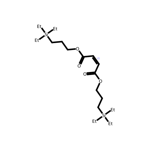 CC[Si](CC)(CC)CCCOC(=O)/C=C\C(=O)OCCC[Si](CC)(CC)CC